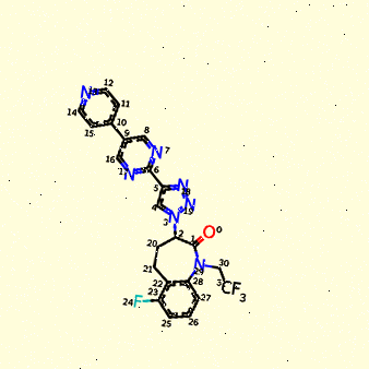 O=C1C(n2cc(-c3ncc(-c4ccncc4)cn3)nn2)CCc2c(F)cccc2N1CC(F)(F)F